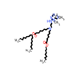 CCCCCCCCCOC(=O)CCCCCCCN(CCCCCCCC(=O)OC(CCCCCCCC)CCCCCCCC)CCCN/C(=N/C#N)N(C)CCN(C)C